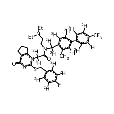 [2H]c1c([2H])c(CSc2nc(=O)c3c(n2C([2H])([2H])C(=O)N(CCN(CC)CC)C([2H])([2H])c2c([2H])c([2H])c(-c4c([2H])c([2H])c(C(F)(F)F)c([2H])c4[2H])c([2H])c2C)CCC3)c([2H])c([2H])c1F